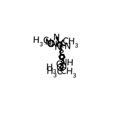 CCc1c(C#N)c(SCc2ccc(NC(=O)OC(C)(C)C)cc2)nc(N2CCCN(C)CC2)c1C#N